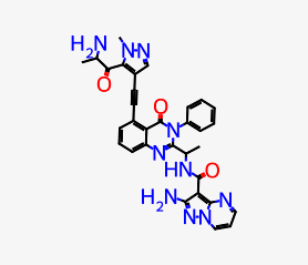 CC(N)C(=O)c1c(C#Cc2cccc3nc(C(C)NC(=O)c4c(N)nn5cccnc45)n(-c4ccccc4)c(=O)c23)cnn1C